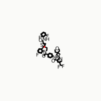 O=C(Nc1c(F)cccc1F)c1cc2c(s1)-c1ccc(F)cc1N(C(=O)c1ccc(NC(=O)c3cc(C(F)F)cnc3N3CC4(CCOCC4)C3)cc1)CC2